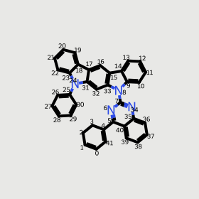 C1=CCCC(c2nc(-n3c4ccccc4c4cc5c6ccccc6n(-c6ccccc6)c5cc43)nc3ccccc23)=C1